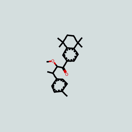 COC(C(=O)c1ccc2c(c1)C(C)(C)CCC2(C)C)C(C)c1ccc(C)cc1